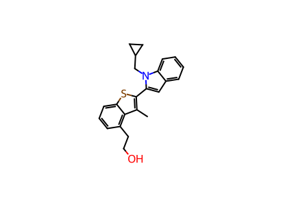 Cc1c(-c2cc3ccccc3n2CC2CC2)sc2cccc(CCO)c12